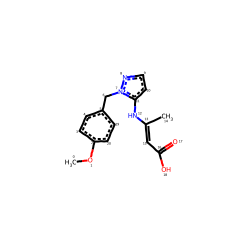 COc1ccc(Cn2nccc2N/C(C)=C/C(=O)O)cc1